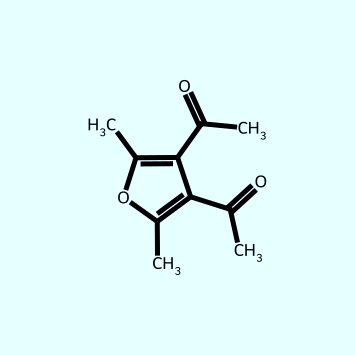 CC(=O)c1c(C)oc(C)c1C(C)=O